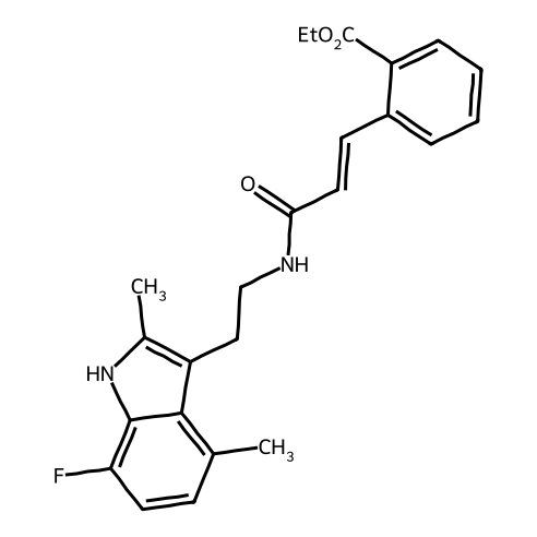 CCOC(=O)c1ccccc1C=CC(=O)NCCc1c(C)[nH]c2c(F)ccc(C)c12